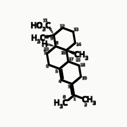 CC(C)=C1C=C2CC[C@H]3[C@](C)(C(=O)O)CCC[C@]3(C)C2CC1